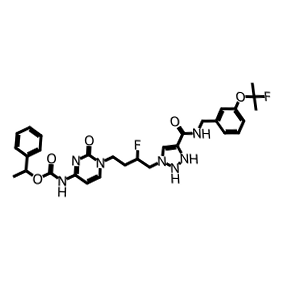 CC(OC(=O)Nc1ccn(CCC(F)CN2C=C(C(=O)NCc3cccc(OC(C)(C)F)c3)NN2)c(=O)n1)c1ccccc1